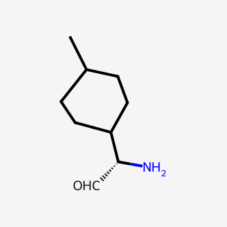 CC1CCC([C@H](N)C=O)CC1